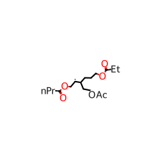 CCCC(=O)OC[CH]C(CCCOC(=O)CC)CCOC(C)=O